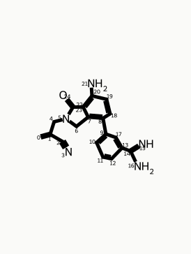 C=C(C#N)CN1Cc2c(-c3cccc(C(=N)N)c3)ccc(N)c2C1=O